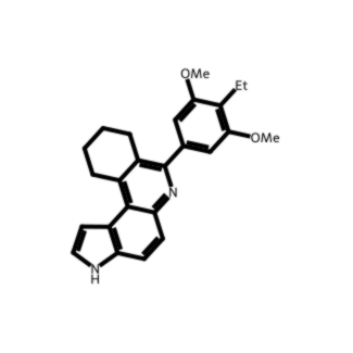 CCc1c(OC)cc(-c2nc3ccc4[nH]ccc4c3c3c2CCCC3)cc1OC